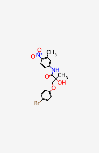 Cc1cc(NC(=O)C(C)(O)COc2ccc(Br)cc2)ccc1[N+](=O)[O-]